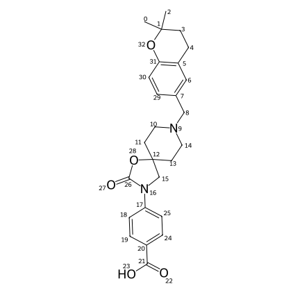 CC1(C)CCc2cc(CN3CCC4(CC3)CN(c3ccc(C(=O)O)cc3)C(=O)O4)ccc2O1